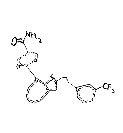 NC(=O)c1ccc(-c2cccc3cc(Cc4cccc(C(F)(F)F)c4)sc23)nc1